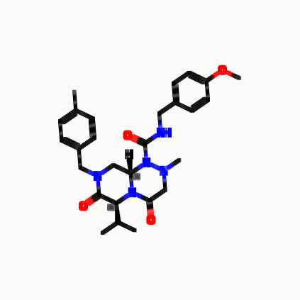 COc1ccc(CNC(=O)N2[C@H]3CN(Cc4ccc(C)cc4)C(=O)[C@H](C(C)C)N3C(=O)CN2C)cc1